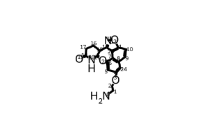 NCCOc1ccc2c(ccc3onc(C4CCC(=O)NC4=O)c32)c1